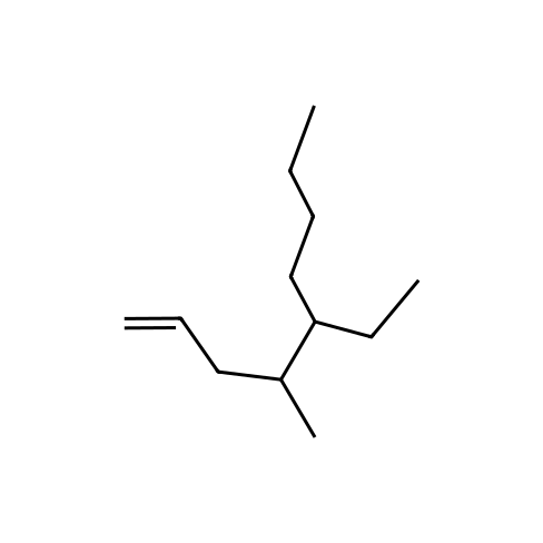 C=CCC(C)C(CC)CCCC